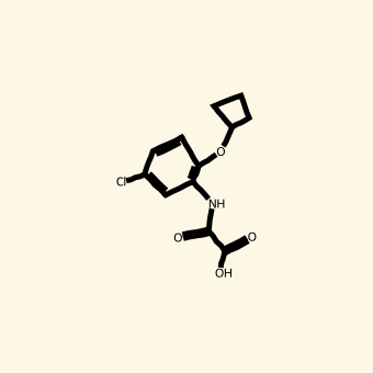 O=C(O)C(=O)Nc1cc(Cl)ccc1OC1CCC1